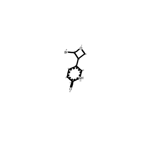 O=c1ccc(C2COC2Br)c[nH]1